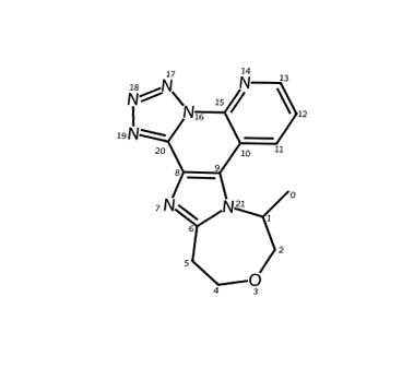 CC1COCCc2nc3c(c4cccnc4n4nnnc34)n21